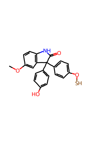 COc1ccc2c(c1)C(c1ccc(O)cc1)(c1ccc(OS)cc1)C(=O)N2